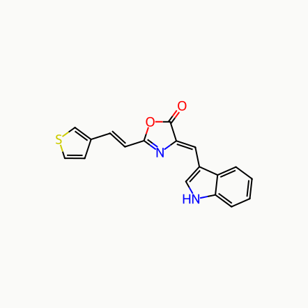 O=C1OC(C=Cc2ccsc2)=NC1=Cc1c[nH]c2ccccc12